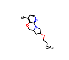 CCc1ccnc2c1OCC1CC(OCCOC)CN21